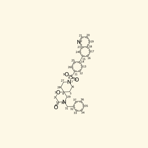 O=C1COC2(CCN(S(=O)(=O)c3ccc(-c4ccc5cccnc5c4)cc3)CC2)CN1Cc1ccccc1